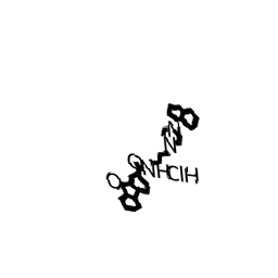 Cl.O=C(NCCCCN1CCN(c2cccc3ccccc23)CC1)c1ccc2c(c1)C(=O)c1ccccc1-2